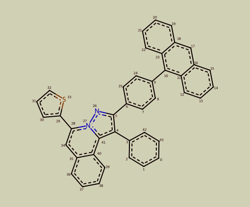 c1ccc(-c2c(-c3ccc(-c4c5ccccc5cc5ccccc45)cc3)nn3c(-c4cccs4)cc4ccccc4c23)cc1